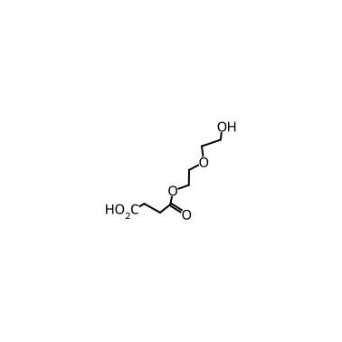 O=C(O)CCC(=O)OCCOCCO